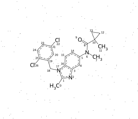 Cc1nc2cc(N(C)C(=O)C3(C)CC3)ccc2n1Cc1cc(Cl)ccc1Cl